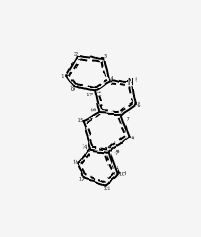 [c]1cccc2ncc3cc4ccccc4cc3c12